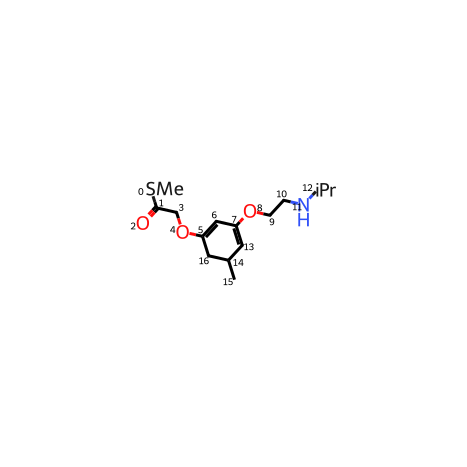 CSC(=O)COC1=CC(OCCNC(C)C)=CC(C)C1